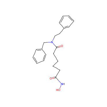 O=C(CCCCC(=O)N(CCc1ccccc1)Cc1ccccc1)NO